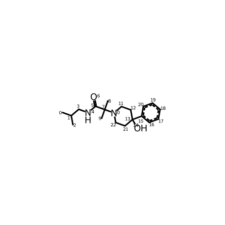 CC(C)CNC(=O)C(C)(C)N1CCC(O)(c2ccccc2)CC1